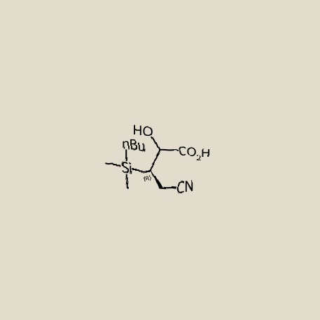 CCCC[Si](C)(C)[C@H](CC#N)C(O)C(=O)O